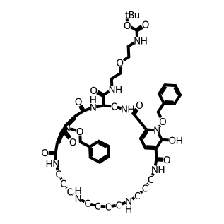 CC(C)(C)OC(=O)NCCOCCNC(=O)C1CNC(=O)C2=CC=C(C(=O)NCCCNCCCCNCCCNC(=O)c3ccc(n(OCc4ccccc4)c3=O)C(=O)N1)C(O)N2OCc1ccccc1